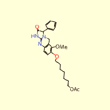 COc1c(OCCCCCCCOC(C)=O)ccc2c1CN1C(=N2)NC(=O)C1c1ccccc1